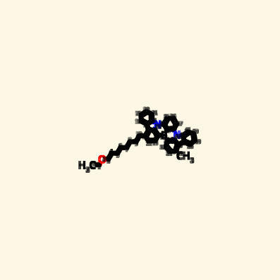 CCOCCCCCCCCc1ccc2c3c1c1ccccc1n3-c1cccc3c1B2c1ccc(C)c2c4ccccc4n-3c12